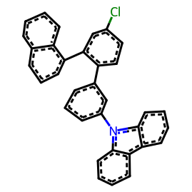 Clc1ccc(-c2cccc(-n3c4ccccc4c4ccccc43)c2)c(-c2cccc3ccccc23)c1